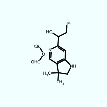 CC(C)(C)OC=O.CC(C)CC(O)c1cc2c(cn1)C(C)(C)CN2